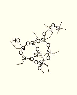 CC[Si]1(O)O[Si]2(CC)O[Si](CC)(O[Si](C)(C)O[Si](C)(C)C)O[Si]3(CC)C[Si@](CC)(O2)O[Si](CC)(O1)O[Si@@](CC)(OC)O3